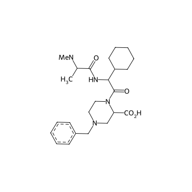 CNC(C)C(=O)NC(C(=O)N1CCN(Cc2ccccc2)CC1C(=O)O)C1CCCCC1